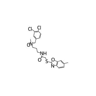 Cc1ccc2nc(SCC(=O)NCCC[N+](C)([O-])Cc3ccc(Cl)c(Cl)c3)oc2c1